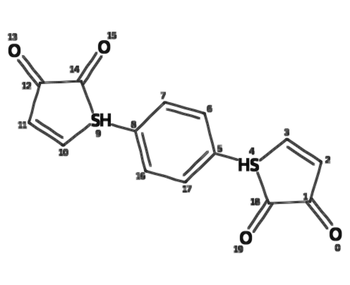 O=C1C=C[SH](c2ccc([SH]3C=CC(=O)C3=O)cc2)C1=O